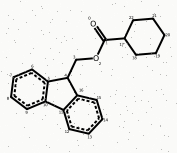 O=C(OCC1c2ccccc2-c2ccccc21)C1CCCCC1